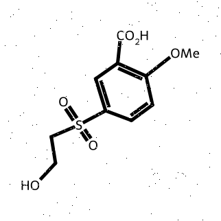 COc1ccc(S(=O)(=O)CCO)cc1C(=O)O